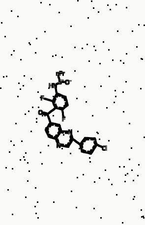 CCC[S+]([O-])Nc1ccc(F)c(C(=O)c2ccc3ncc(-c4ccc(Cl)cc4)nc3c2)c1F